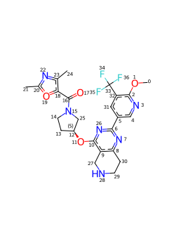 COc1ncc(-c2nc3c(c(O[C@H]4CCN(C(=O)c5oc(C)nc5C)C4)n2)CNCC3)cc1C(F)(F)F